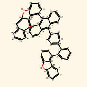 c1ccc(-c2cccc3oc4ccccc4c23)c(-c2ccc(-c3c4ccccc4c(-c4cccc5oc6cc7ccccc7cc6c45)c4ccccc34)cc2)c1